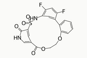 O=C1OCCOc2ccccc2-c2cc(c(F)cc2F)NS(=O)(=O)c2cc1c[nH]c2=O